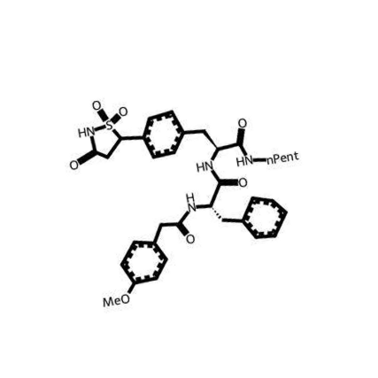 CCCCCNC(=O)[C@H](Cc1ccc(C2CC(=O)NS2(=O)=O)cc1)NC(=O)[C@H](Cc1ccccc1)NC(=O)Cc1ccc(OC)cc1